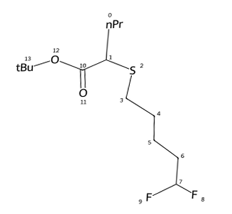 CCCC(SCCCCC(F)F)C(=O)OC(C)(C)C